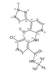 [2H]C([2H])([2H])NC(=O)c1cnc(Cl)cc1Nc1nccc(-c2cnn(C)n2)c1OC